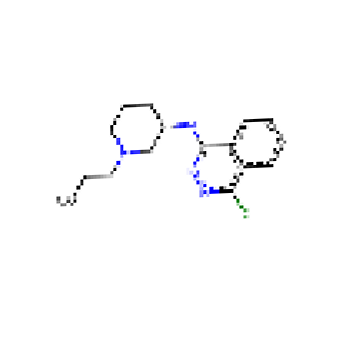 CC(=O)OCCN1CCC[C@@H](Nc2nnc(Cl)c3ccccc23)C1